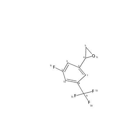 Fc1cc(C2CO2)cc(C(F)(F)F)c1